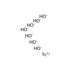 [OH-].[OH-].[OH-].[OH-].[OH-].[OH-].[OH-].[Tc+7]